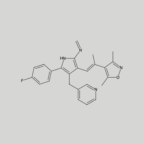 C=Nc1[nH]c(-c2ccc(F)cc2)c(Cc2cccnc2)c1/C=C(\C)c1c(C)noc1C